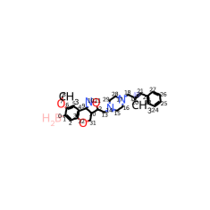 Bc1cc2c(cc1OC)C1=NOC(CN3CCN(C/C(C)=C/c4ccccc4)CC3)C1CO2